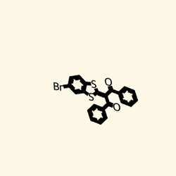 O=C(C(C(=O)c1ccccc1)=C1Sc2ccc(Br)cc2S1)c1ccccc1